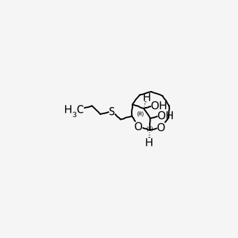 CCCSCC1O[C@@H]2OCCCCCC1[C@@H](O)C2O